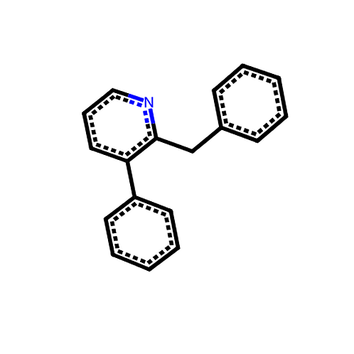 c1ccc(Cc2ncccc2-c2ccccc2)cc1